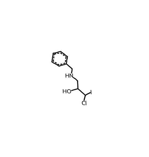 OC(CNCc1ccccc1)C(Cl)I